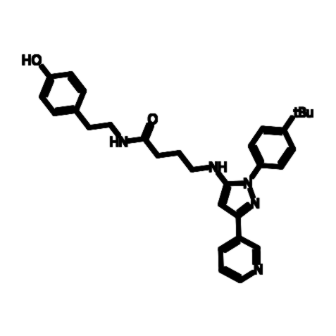 CC(C)(C)c1ccc(-n2nc(-c3cccnc3)cc2NCCCC(=O)NCCc2ccc(O)cc2)cc1